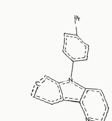 CC(C)c1ccc(-n2c3ccccc3c3ncccc32)cc1